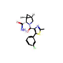 Cc1nc(C(=O)N2C[C@H]3C[C@H]3[C@H]2C(N)=O)c(-c2cccc(Cl)c2)s1